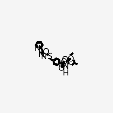 CCOC(=O)[C@H](CC(C)C)NS(=O)(=O)c1ccc(CSc2nnc(-c3ccccn3)o2)cc1